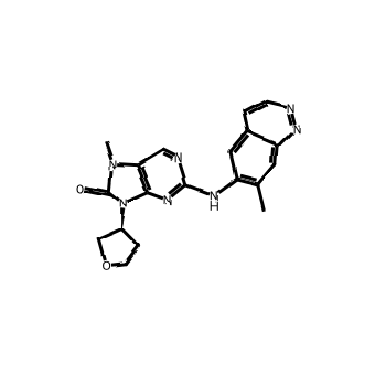 Cc1cc2nnccc2cc1Nc1ncc2c(n1)n([C@H]1CCOC1)c(=O)n2C